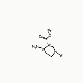 CC(C)OC(=O)[C@@H]1CN(C(C)C)CC[C@H]1N